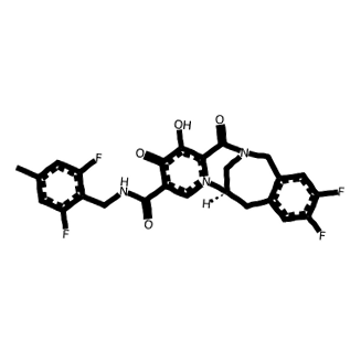 Cc1cc(F)c(CNC(=O)c2cn3c(c(O)c2=O)C(=O)N2Cc4cc(F)c(F)cc4C[C@@H]3C2)c(F)c1